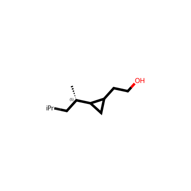 CC(C)C[C@H](C)C1CC1CCO